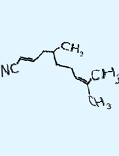 CC(C)=CCCC(C)C/C=C/C#N